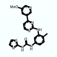 COc1cncc(-c2ccnc(Nc3cc(NC(=O)Nc4nccs4)ccc3C)n2)c1